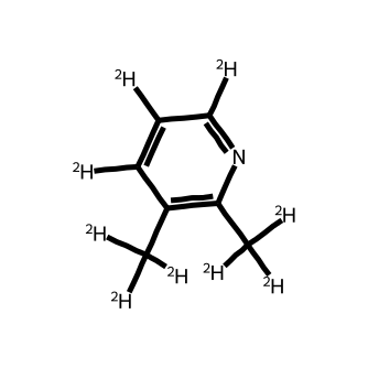 [2H]c1nc(C([2H])([2H])[2H])c(C([2H])([2H])[2H])c([2H])c1[2H]